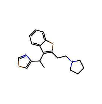 CC(c1cscn1)c1c(CCN2CCCC2)sc2ccccc12